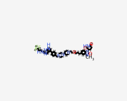 Cn1c(=O)n([C@H]2CCC(=O)NC2=O)c2ccc(CCCOCCN3CCC(N4CCN(Cc5ccc(-c6c[nH]c7nc(NCCC(F)(F)F)ncc67)cc5)CC4)CC3)cc21